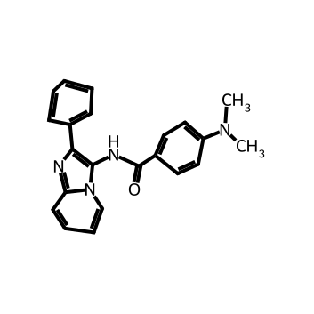 CN(C)c1ccc(C(=O)Nc2c(-c3ccccc3)nc3ccccn23)cc1